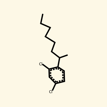 CCCCCCC(C)c1ccc(Cl)cc1Cl